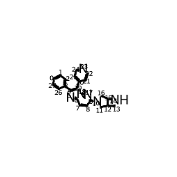 c1ccc(-c2nc3ccc(N4CC5CNC5C4)nn3c2-c2ccncc2)cc1